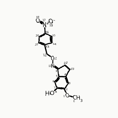 COc1cc2c(cc1O)C(=NOCc1ccc([N+](=O)[O-])cc1)CC2